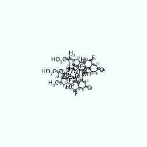 C[C@@H]1CC2[C@@H]3C[C@H](F)C4=CC(=O)C=C[C@]4(C)[C@@]3(F)[C@@H](O)C[C@]2(C)[C@]1(CCC(=O)O)C(=O)SSC(=O)[C@@]1(CCC(=O)O)[C@@H](C)CC2[C@@H]3C[C@@H](F)C4=CC(=O)C=C[C@]4(C)[C@]3(F)[C@H](O)C[C@@]21C